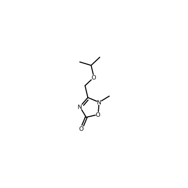 CC(C)OCc1nc(=O)on1C